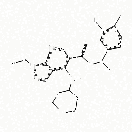 CCn1ncc2c(NC3CCOCC3)c(C(=O)NC(C)c3ccc(C)c(Cl)c3)cnc21